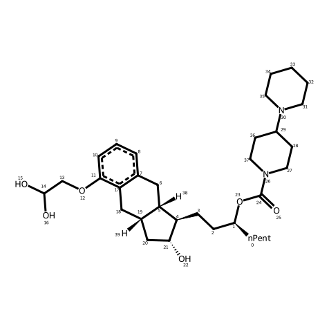 CCCCC[C@@H](CC[C@@H]1[C@H]2Cc3cccc(OCC(O)O)c3C[C@H]2C[C@H]1O)OC(=O)N1CCC(N2CCCCC2)CC1